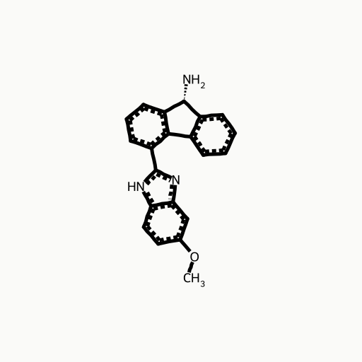 COc1ccc2[nH]c(-c3cccc4c3-c3ccccc3[C@H]4N)nc2c1